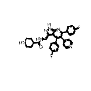 O=C(NCc1n[nH]c2nc(-c3ccc(F)cc3)c(-c3ccncc3)c(-c3ccc(F)cc3)c12)C1CCNCC1